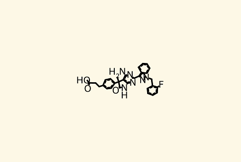 CC1(c2ccc(CCC(=O)O)cc2)C(=O)Nc2nc(-c3nn(Cc4ccccc4F)c4ccccc34)nc(N)c21